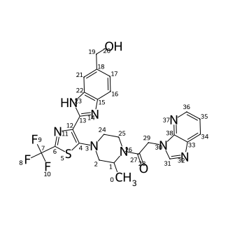 CC1CN(c2sc(C(F)(F)F)nc2-c2nc3ccc(CO)cc3[nH]2)CCN1C(=O)Cn1cnc2cccnc21